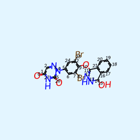 O=c1cnn(-c2cc(Br)c(OC3=NNC(O)c4ccccc43)c(Br)c2)c(=O)[nH]1